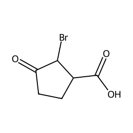 O=C1CCC(C(=O)O)C1Br